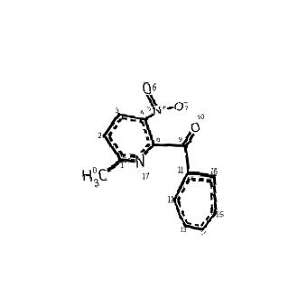 Cc1ccc([N+](=O)[O-])c(C(=O)c2ccccc2)n1